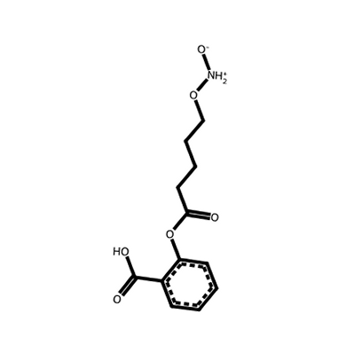 O=C(CCCCO[NH2+][O-])Oc1ccccc1C(=O)O